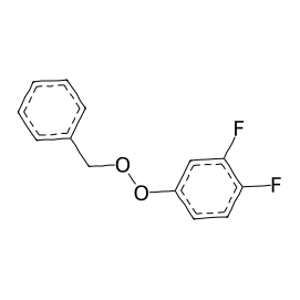 Fc1ccc(OOCc2ccccc2)cc1F